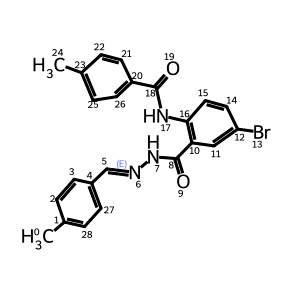 Cc1ccc(/C=N/NC(=O)c2cc(Br)ccc2NC(=O)c2ccc(C)cc2)cc1